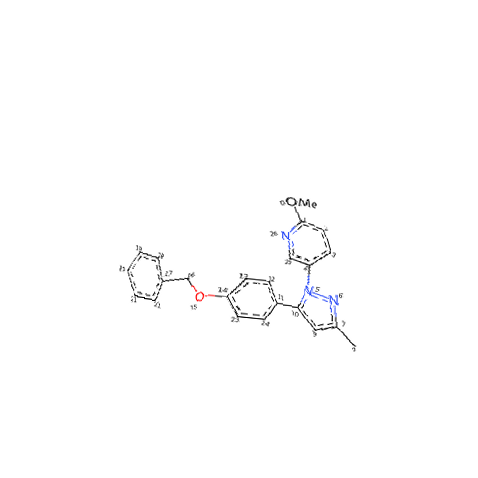 COc1ccc(-n2nc(C)cc2-c2ccc(OCc3ccccc3)cc2)cn1